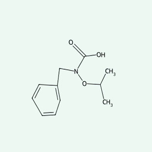 CC(C)ON(Cc1ccccc1)C(=O)O